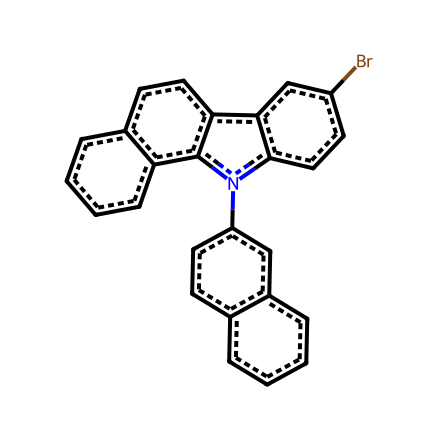 Brc1ccc2c(c1)c1ccc3ccccc3c1n2-c1ccc2ccccc2c1